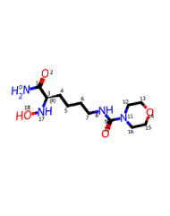 NC(=O)[C@@H](CCCCNC(=O)N1CCOCC1)NO